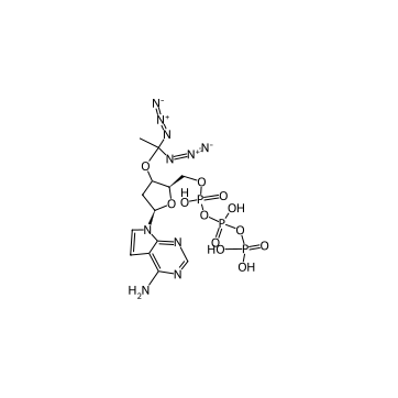 CC(N=[N+]=[N-])(N=[N+]=[N-])OC1C[C@H](n2ccc3c(N)ncnc32)O[C@@H]1COP(=O)(O)OP(=O)(O)OP(=O)(O)O